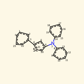 c1ccc(-c2cc(N(c3ccccc3)c3ccccc3)c[se]2)cc1